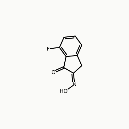 O=C1/C(=N\O)Cc2cccc(F)c21